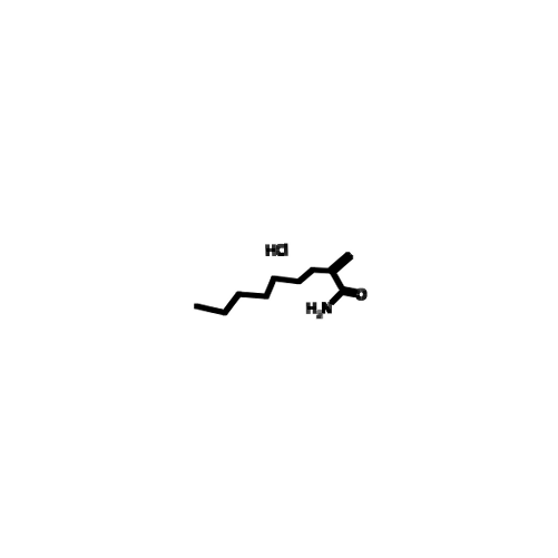 C=C(CCCCCCC)C(N)=O.Cl